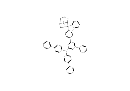 c1ccc(-c2ccc(N(c3ccc(-c4ccccc4)cc3)c3cc(-c4ccccc4)cc(-c4ccc5c(c4)-c4ccccc4C54C5CC6CC7CC4[C@]75C6)c3)cc2)cc1